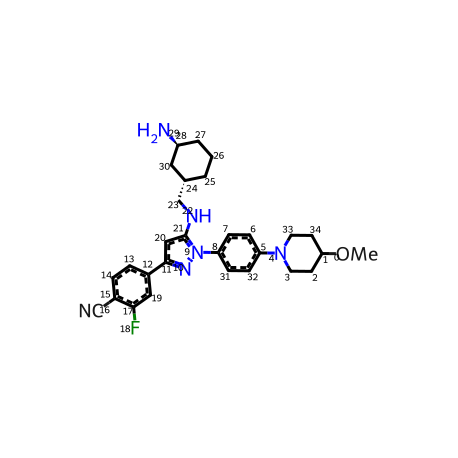 COC1CCN(c2ccc(-n3nc(-c4ccc(C#N)c(F)c4)cc3NC[C@H]3CCC[C@H](N)C3)cc2)CC1